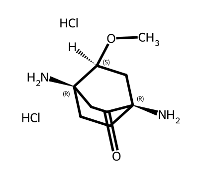 CO[C@H]1C[C@]2(N)CC[C@@]1(N)CC2=O.Cl.Cl